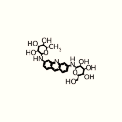 C[C@@H]1O[C@@H](Nc2ccc3cc4ccc(N[C@@H]5O[C@H](CO)[C@@H](O)[C@H](O)[C@H]5O)cc4nc3c2)[C@H](O)[C@H](O)[C@H]1O